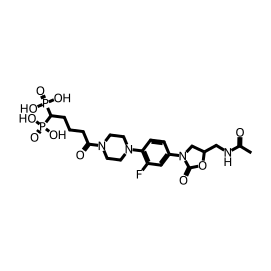 CC(=O)NCC1CN(c2ccc(N3CCN(C(=O)CCCC(P(=O)(O)O)P(=O)(O)O)CC3)c(F)c2)C(=O)O1